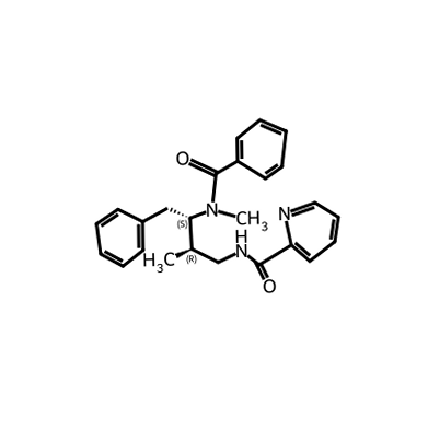 C[C@H](CNC(=O)c1ccccn1)[C@H](Cc1ccccc1)N(C)C(=O)c1ccccc1